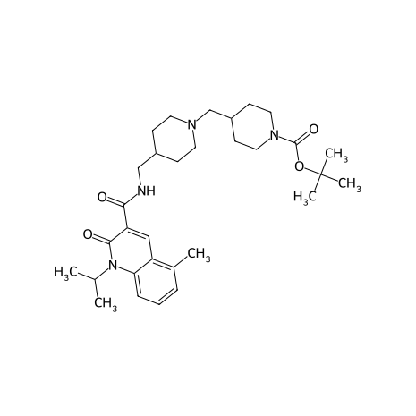 Cc1cccc2c1cc(C(=O)NCC1CCN(CC3CCN(C(=O)OC(C)(C)C)CC3)CC1)c(=O)n2C(C)C